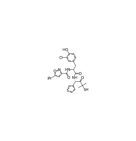 CC(C)c1cc(C(=O)NC(Cc2ccc(O)c(Cl)c2)C(=O)N[C@H](C(=O)C(C)(C)S)c2ccsc2)no1